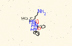 NCCCCC(NC(=O)N[C@H](CC1CCCCC1)C(=O)NC1C2CC3CC(C2)CC1C3)C(=O)O